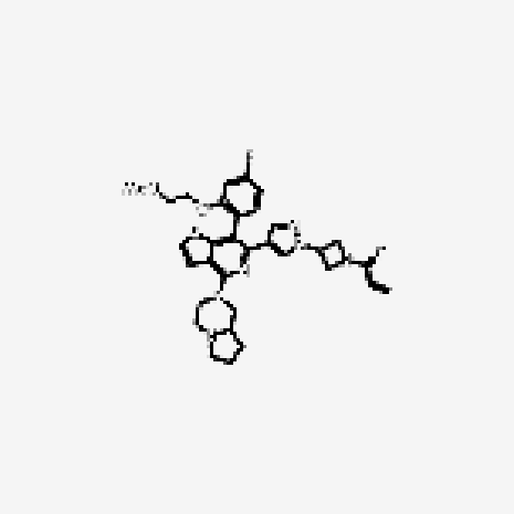 C=CC(=O)N1CC(n2cc(-c3nc(N4CCN5CCCC5C4)c4ccsc4c3-c3ccc(F)cc3OCCOC)cn2)C1